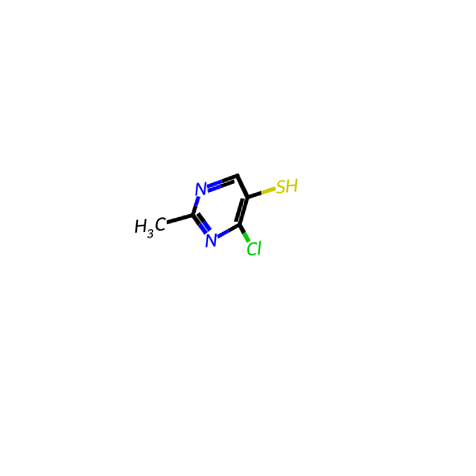 Cc1ncc(S)c(Cl)n1